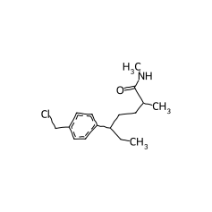 CCC(CCC(C)C(=O)NC)c1ccc(CCl)cc1